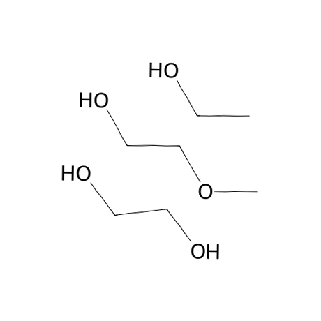 CCO.COCCO.OCCO